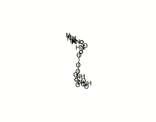 C[C@@H](NC(=O)c1cccc(NCc2nnc(-c3ccncn3)n2C)c1)c1ccc(OCCCCCOCCCOCC(=O)Nc2cccc3c2CN(C2CCC(=O)NC2=O)C3=O)cc1